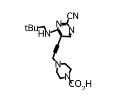 CC(C)(C)CNc1nc(C#N)ncc1C#CCN1CCN(C(=O)O)CC1